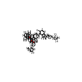 Cc1ccc2c(cnn2COCC[Si](C)(C)C)c1N1CCc2c(nc(OC[C@@H]3CCCN3C)nc2N2C[C@H]3CC[C@@H](C2)N3C(=O)OC(C)(C)C)C1